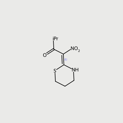 CC(C)C(=O)/C(=C1/NCCCS1)[N+](=O)[O-]